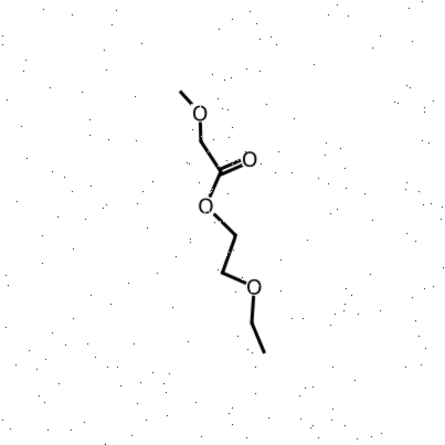 CCOCCOC(=O)COC